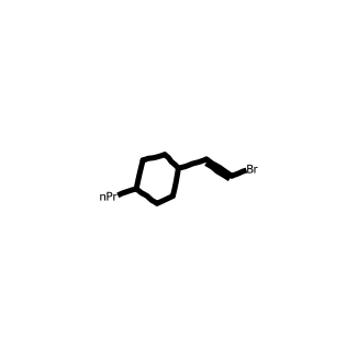 CCCC1CCC(C=CBr)CC1